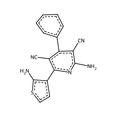 N#Cc1c(N)nc(-c2ccsc2N)c(C#N)c1-c1ccccc1